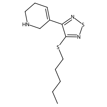 CCCCCSc1nsnc1C1=CCCNC1